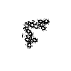 CC(C)c1ccc2c(oc3ccccc32)c1N(c1ccccc1)c1ccc2cc3c(cc2c1)oc1ccc2oc4cc5cc(N(c6ccccc6)c6c(C(C)C)ccc7c6oc6ccccc67)ccc5cc4c2c13